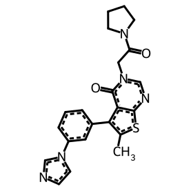 Cc1sc2ncn(CC(=O)N3CCCC3)c(=O)c2c1-c1cccc(-n2ccnc2)c1